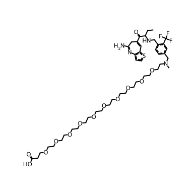 CCC(NCc1ccc(CN(C)CCOCCOCCOCCOCCOCCOCCOCCOCCOCCOCCC(=O)O)cc1C(F)(F)F)C(=O)C1=Cc2sccc2N=C(N)C1